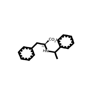 CC(N[C@@H](Cc1ccccc1)C(=O)O)c1ccccc1